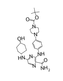 CC(C)(C)OC(=O)N1CCN(c2ccc(Nc3nc(N[C@H]4CC[C@H](O)CC4)cnc3C(N)=O)cc2)CC1